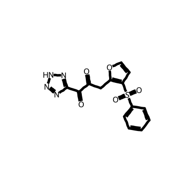 O=C(Cc1occc1S(=O)(=O)c1ccccc1)C(=O)c1nn[nH]n1